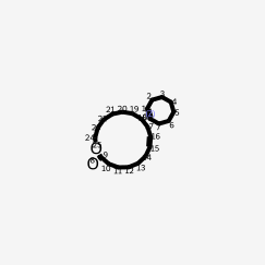 C1=C\CCCCCC/1.O=C1CCCCCC=CCCCCCCCCO1